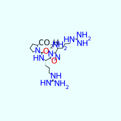 N=C(N)NCCC[C@H](NC(=O)N1CCCC1C(=O)O)c1nc([C@@H](N)CCCNC(=N)N)no1